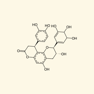 O=C1C[C@@H](c2ccc(O)c(O)c2)c2c(cc(O)c3c2O[C@@H](C2=CC(O)C(O)C(O)=C2)[C@H](O)C3)O1